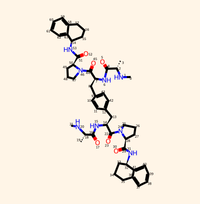 CN[C@@H](C)C(=O)N[C@@H](Cc1ccc(C[C@H](NC(=O)[C@H](C)NC)C(=O)N2CCC[C@H]2C(=O)N[C@@H]2CCCc3ccccc32)cc1)C(=O)N1CCC[C@H]1C(=O)N[C@@H]1CCCc2ccccc21